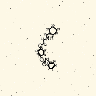 c1ccc2oc(Oc3ccc(OCCNCC4CCCCC4)cc3)nc2c1